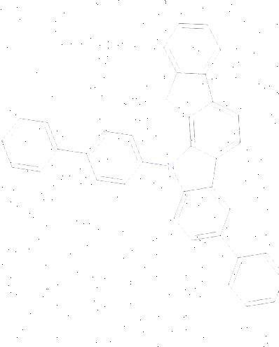 c1ccc(-c2ccc(-n3c4ccc(-c5ccccc5)cc4c4ccc5c6ccccc6sc5c43)cc2)cc1